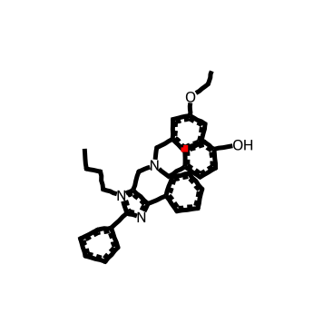 CCCCn1c(-c2ccccc2)nc(-c2ccccc2)c1CN(Cc1ccc(O)cc1)Cc1cccc(OCC)c1